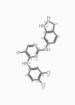 Fc1cnc(Nc2ccc3c(c2)NNC3)nc1Nc1ccc(Cl)c(Cl)c1